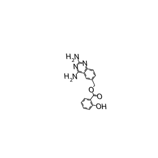 Nc1nc(N)c2cc(COC(=O)c3ccccc3O)ccc2n1